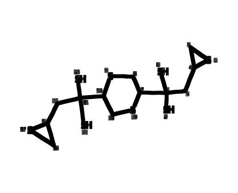 SC(S)(CC1CS1)C1CSC(C(S)(S)CC2CS2)CS1